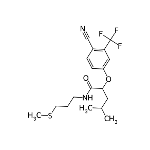 CSCCCNC(=O)C(CC(C)C)Oc1ccc(C#N)c(C(F)(F)F)c1